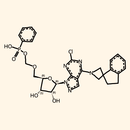 O=P(O)(OCOC[C@H]1O[C@@H](n2ncc3c(N4CC5(CCc6ccccc65)C4)nc(Cl)nc32)[C@H](O)[C@@H]1O)c1ccccc1